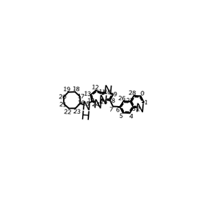 c1cnc2ccc(Cc3cnc4ccc(NC5CCCCCCC5)nn34)cc2c1